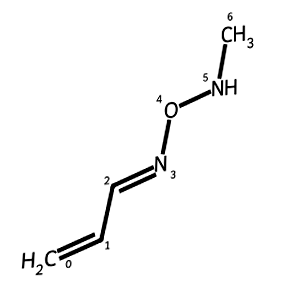 C=C/C=N/ONC